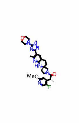 COc1cc([C@@H](C)C(=O)N2CC[C@@]3(CCc4cc(-c5nc(N6CCOCC6)n(C)n5)c(C)nc4N3)C2)c(F)cn1